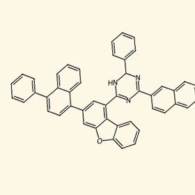 c1ccc(-c2ccc(-c3cc(C4=NC(c5ccc6ccccc6c5)=NC(c5ccccc5)N4)c4c(c3)oc3ccccc34)c3ccccc23)cc1